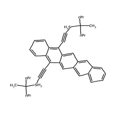 CCCC(C)(CCC)[SiH2]C#Cc1c2ccccc2c(C#C[SiH2]C(C)(CCC)CCC)c2cc3cc4ccccc4cc3cc12